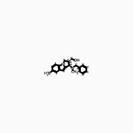 Bc1ccc2c(c1)cc1n2C[C@@H](CO)[C@H]1N(C)Cc1ccccc1